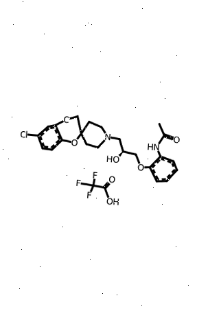 CC(=O)Nc1ccccc1OC[C@@H](O)CN1CCC2(CCc3cc(Cl)ccc3O2)CC1.O=C(O)C(F)(F)F